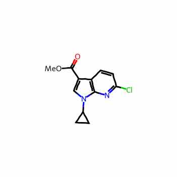 COC(=O)c1cn(C2CC2)c2nc(Cl)ccc12